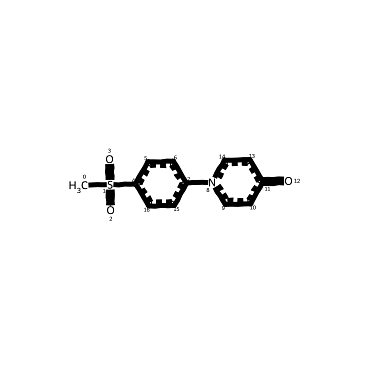 CS(=O)(=O)c1ccc(-n2ccc(=O)cc2)cc1